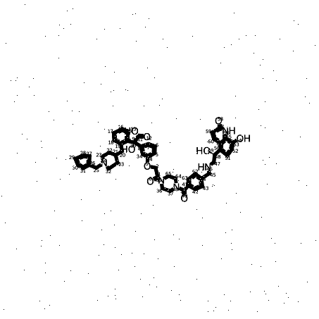 O=C(COc1cccc([C@@](O)(C(=O)O)c2ccccc2CC2CCN(Cc3ccccc3)CC2)c1)N1CCN(C(=O)c2ccc(CNC[C@H](O)c3ccc(O)c4[nH]c(=O)ccc34)cc2)CC1